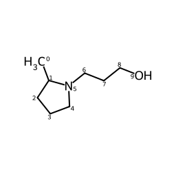 CC1CCCN1CCCO